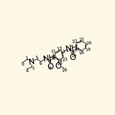 CCN(CC)CCNC(=O)c1ccc(NC(=O)c2ccccc2)cc1OC